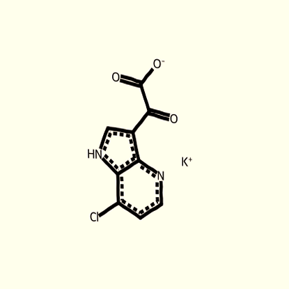 O=C([O-])C(=O)c1c[nH]c2c(Cl)ccnc12.[K+]